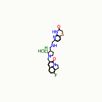 Cl.Cl.O=C1CSc2ccc(CNCC3CCN(Cc4cc5ccc(F)c6c5n(c4=O)CC6)C3)nc2N1